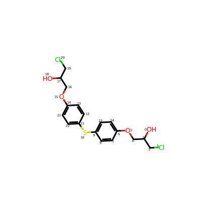 OC(CCl)COc1ccc(Sc2ccc(OCC(O)CCl)cc2)cc1